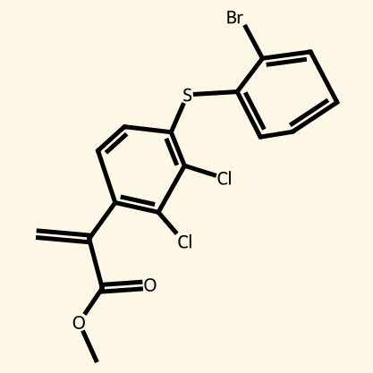 C=C(C(=O)OC)c1ccc(Sc2ccccc2Br)c(Cl)c1Cl